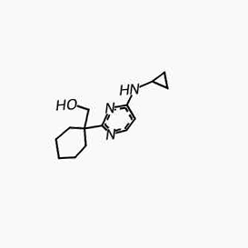 OCC1(c2nccc(NC3CC3)n2)CCCCC1